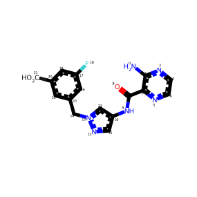 Nc1nccnc1C(=O)Nc1cnn(Cc2cc(F)cc(C(=O)O)c2)c1